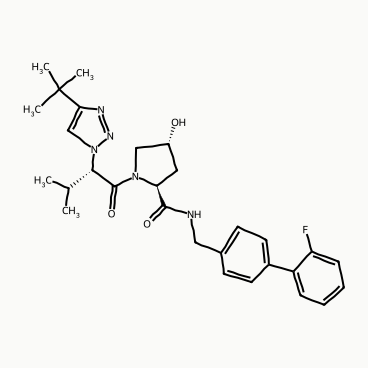 CC(C)[C@@H](C(=O)N1C[C@H](O)C[C@H]1C(=O)NCc1ccc(-c2ccccc2F)cc1)n1cc(C(C)(C)C)nn1